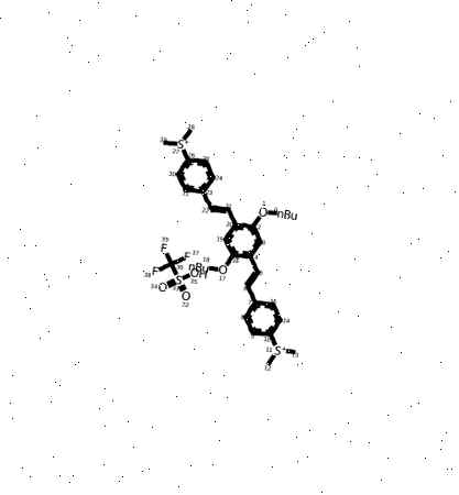 CCCCOc1cc(C=Cc2ccc([S+](C)C)cc2)c(OCCCC)cc1C=Cc1ccc([S+](C)C)cc1.O=S(=O)(O)C(F)(F)F